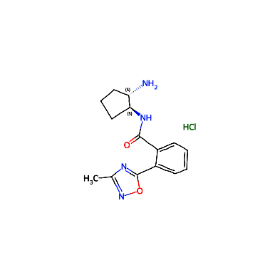 Cc1noc(-c2ccccc2C(=O)N[C@H]2CCC[C@@H]2N)n1.Cl